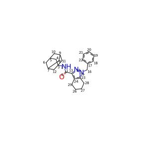 O=C(NC12CC3CC(CC(C3)C1)C2)c1nn(Cc2ccccc2)c2c1CCCC2